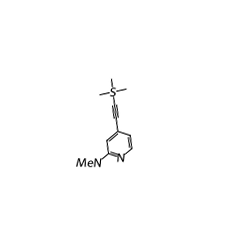 CNc1cc(C#CS(C)(C)C)ccn1